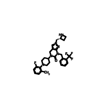 Cc1cccc(F)c1N1CCC(N2Cc3cn(C[C@H]4CCN4)nc3N(Cc3ccccc3C(F)(F)F)C2=O)CC1